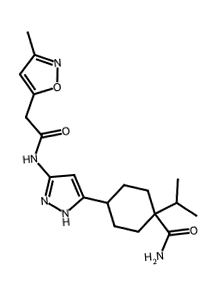 Cc1cc(CC(=O)Nc2cc(C3CCC(C(N)=O)(C(C)C)CC3)[nH]n2)on1